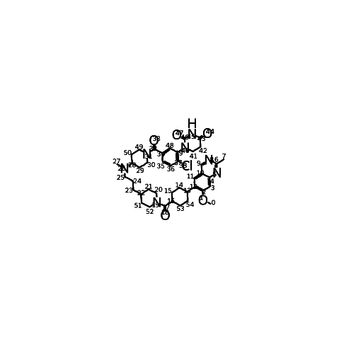 COc1cc2nc(C)ncc2cc1C1CCC(C(=O)N2CCC(CCCN(C)C3CCN(C(=O)c4ccc(Cl)c(N5CCC(=O)NC5=O)c4)CC3)CC2)CC1